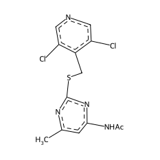 CC(=O)Nc1cc(C)nc(SCc2c(Cl)cncc2Cl)n1